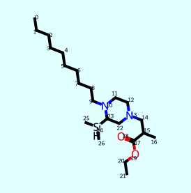 CCCCCCCCCCN1CCN(CC(C)C(=O)OCC)CC1[SiH](C)C